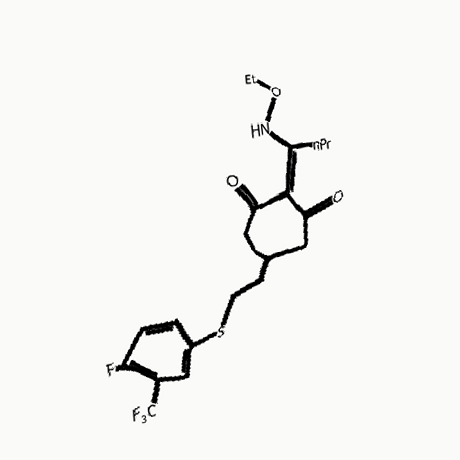 CCCC(NOCC)=C1C(=O)CC(CCSc2ccc(F)c(C(F)(F)F)c2)CC1=O